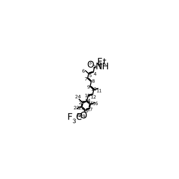 CCNC(=O)C=C(C)C=CC=C(C)C=Cc1c(C)cc(OC(F)(F)F)c(C)c1C